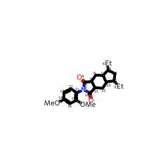 CCC1CC(CC)C2CC3C(=O)N(c4ccc(OC)cc4OC)C(=O)C3CC12